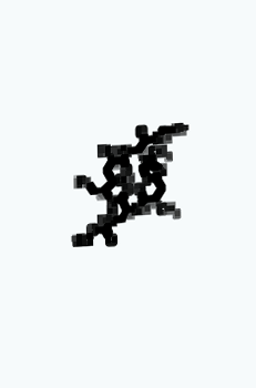 CC[C@H](C[C@H](O)[C@H](CC(C)C)NC(=O)[C@H](CNC(=O)OC(C)(C)C)NC(=O)[C@@H](C)Cc1nc(C)cs1)C(=O)N[C@H](C(=O)NCC(C)C)C(C)C